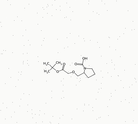 CC(C)(C)OC(=O)COCC1CCCN1C(=O)O